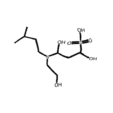 CC(C)CCN(CCO)C(O)CC(O)S(=O)(=O)O